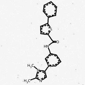 Cc1ncc(-c2cccc(NC(=O)c3ccc(-c4ccccc4)s3)c2)n1C